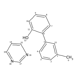 Cc1cccc(-c2ccccc2O)c1.c1cncnc1